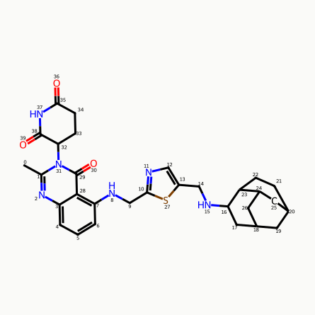 Cc1nc2cccc(NCc3ncc(CNC4CC5CC6CCC4C(C6)C5)s3)c2c(=O)n1C1CCC(=O)NC1=O